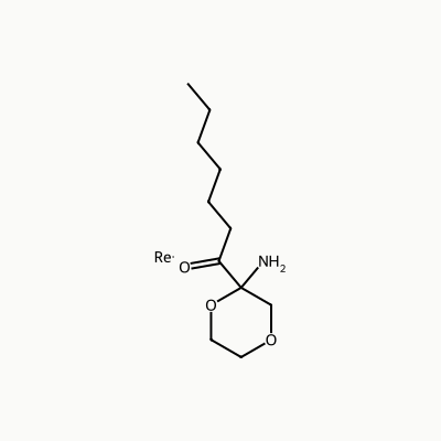 CCCCCCC(=O)C1(N)COCCO1.[Re]